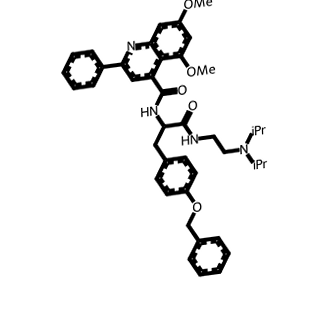 COc1cc(OC)c2c(C(=O)NC(Cc3ccc(OCc4ccccc4)cc3)C(=O)NCCN(C(C)C)C(C)C)cc(-c3ccccc3)nc2c1